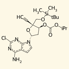 C#C[C@]1(CO[Si](C)(C)C(C)(C)C)O[C@@H](n2ccc3c(N)nc(Cl)nc32)C[C@@H]1OC(=O)OC(C)C